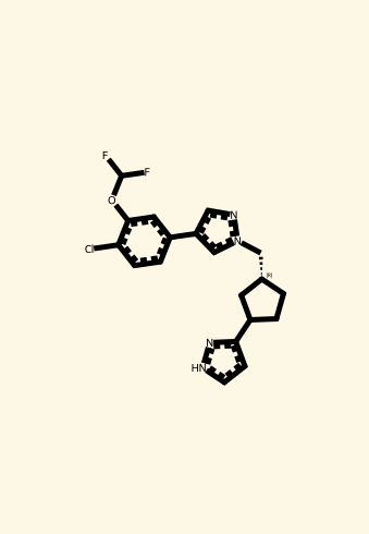 FC(F)Oc1cc(-c2cnn(C[C@@H]3CCC(c4cc[nH]n4)C3)c2)ccc1Cl